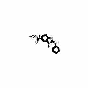 O=C(NO)c1ccc2nc(Nc3ccccc3)[nH]c2c1